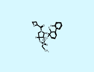 CCS(=O)(=O)N[C@@H]1[C@H](CC2(C)C=CC=C(c3ccccc3F)C2F)N(C(=O)C2CCO2)CC1(F)F